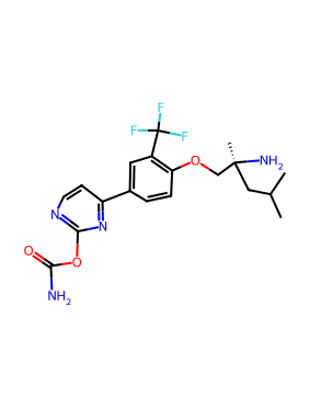 CC(C)C[C@](C)(N)COc1ccc(-c2ccnc(OC(N)=O)n2)cc1C(F)(F)F